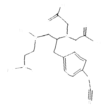 CN(C)CCN(C)CC(Cc1ccc(SC#N)cc1)N(CC(=O)O)CC(=O)O